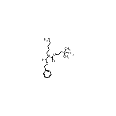 C[Si](C)(C)CCOC(=O)[C@H](CCCCN)NOCc1ccccc1